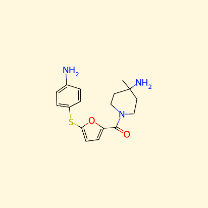 CC1(N)CCN(C(=O)c2ccc(Sc3ccc(N)cc3)o2)CC1